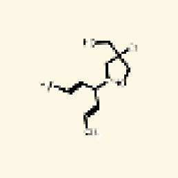 CC=CC(C=CC)OCC(CC)(CO)CO